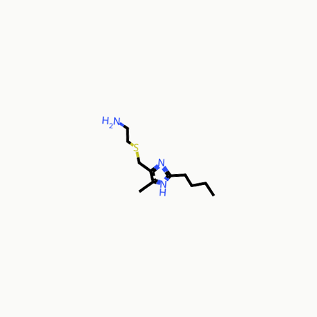 CCCCc1nc(CSCCN)c(C)[nH]1